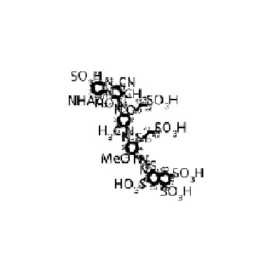 COc1cc(N=Nc2cc(OCCCS(=O)(=O)O)c(N=Nc3c(C)c(C#N)c4nc5c(S(=O)(=O)O)ccc(NC(C)=O)c5n4c3O)cc2C)c(SCCCS(=O)(=O)O)cc1N=Nc1nc2c(S(=O)(=O)O)cc3c(S(=O)(=O)O)cc(S(=O)(=O)O)cc3c2s1